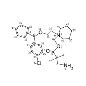 CC(C)(CN)C(=O)OC[N+]1(CCOC(c2ccccc2)c2ccc(Cl)cc2)CCCCC1